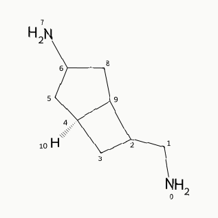 NCC1C[C@H]2CC(N)CC12